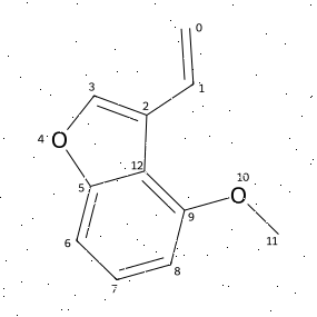 C=Cc1coc2cccc(OC)c12